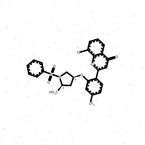 O=C(O)[C@@H]1C[C@H](Oc2cc(C(F)(F)F)ccc2-c2cc(=O)c3cccc(Cl)c3o2)CN1S(=O)(=O)c1ccccc1